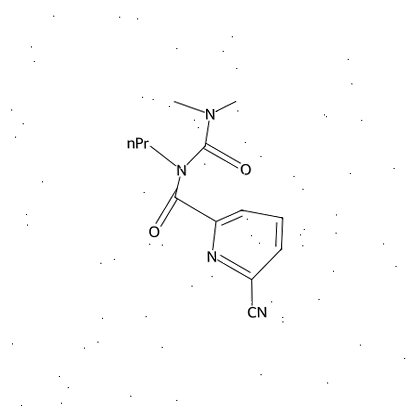 CCCN(C(=O)c1cccc(C#N)n1)C(=O)N(C)C